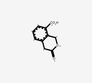 O=C1Cc2cccc(C(=O)O)c2CO1